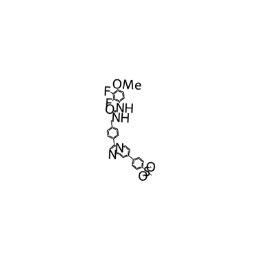 COc1ccc(NC(=O)NCc2ccc(-c3cnc4cc(-c5ccc(S(C)(=O)=O)cc5)ccn34)cc2)c(F)c1F